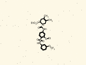 CCOC(=O)[C@H]1CC(C)=C(C)C[C@@H]1C(=O)Nc1ccc(S(=O)(=O)Nc2cccc(OC(F)(F)F)c2)c(OCC)c1